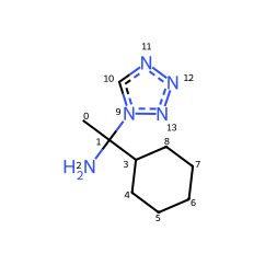 CC(N)(C1CCCCC1)n1cnnn1